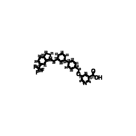 O=C(O)c1cncc(OCc2ccc(-c3cccc(CN4CCc5ccc(C(F)(F)F)cc54)c3)cc2)c1